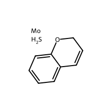 C1=Cc2ccccc2OC1.S.[Mo]